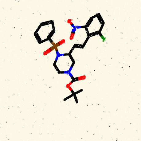 CC(C)(C)OC(=O)N1CCN(S(=O)(=O)c2ccccc2)C(/C=C/c2c(F)cccc2[N+](=O)[O-])C1